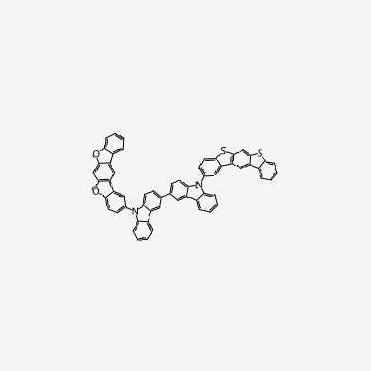 c1ccc2c(c1)oc1cc3oc4ccc(-n5c6ccccc6c6cc(-c7ccc8c(c7)c7ccccc7n8-c7ccc8sc9cc%10sc%11ccccc%11c%10cc9c8c7)ccc65)cc4c3cc12